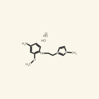 COc1cc(N)ccc1NCC[n+]1ccn(C)c1.Cl.Cl.[Cl-]